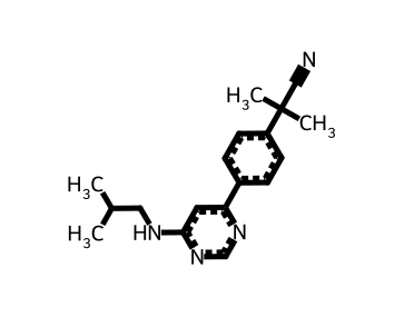 CC(C)CNc1cc(-c2ccc(C(C)(C)C#N)cc2)ncn1